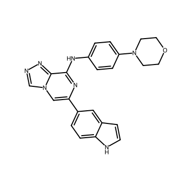 c1cc2cc(-c3cn4cnnc4c(Nc4ccc(N5CCOCC5)cc4)n3)ccc2[nH]1